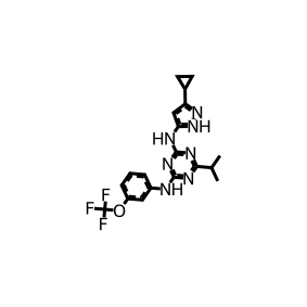 CC(C)c1nc(Nc2cccc(OC(F)(F)F)c2)nc(Nc2cc(C3CC3)n[nH]2)n1